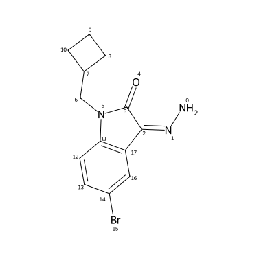 NN=C1C(=O)N(CC2CCC2)c2ccc(Br)cc21